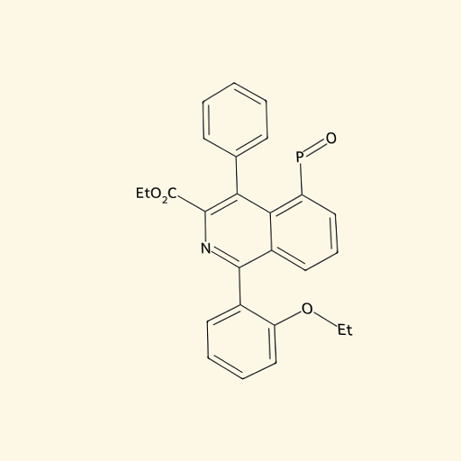 CCOC(=O)c1nc(-c2ccccc2OCC)c2cccc(P=O)c2c1-c1ccccc1